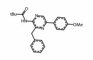 COc1ccc(-c2cnc(NC(=O)C(C)(C)C)c(Cc3ccccc3)n2)cc1